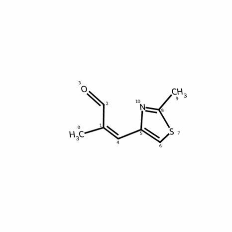 CC(C=O)=Cc1csc(C)n1